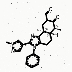 C[C@@H]1C(=O)C(C=O)C[C@]2(C)c3nc(-c4cnn(C)c4)n(-c4ccccc4)c3CC[C@@H]12